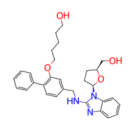 OCCCCCOc1cc(CNc2nc3ccccc3n2[C@H]2CC[C@@H](CO)O2)ccc1-c1ccccc1